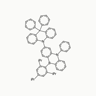 CC(C)c1cc(C(C)C)c(B2c3ccccc3N(c3ccccc3)c3cc(N4c5ccccc5C(c5ccccc5)(c5ccccc5)c5ccccc54)ccc32)c(C(C)C)c1